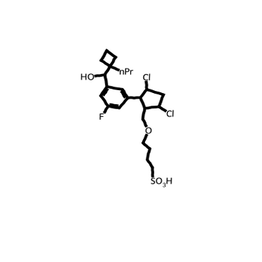 CCCC1(C(O)c2cc(F)cc(C3C(Cl)CC(Cl)C3COCCCCS(=O)(=O)O)c2)CCC1